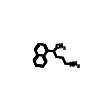 CC(CCCN)c1cccc2ccccc12